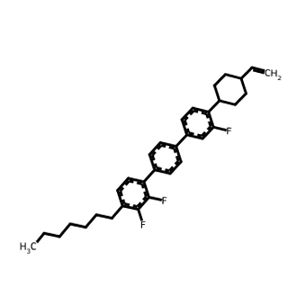 C=CC1CCC(c2ccc(-c3ccc(-c4ccc(CCCCCCC)c(F)c4F)cc3)cc2F)CC1